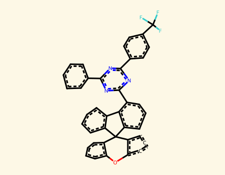 FC(F)(F)c1ccc(-c2nc(-c3ccccc3)nc(-c3cccc4c3-c3ccccc3C43c4ccccc4Oc4ccccc43)n2)cc1